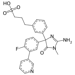 CN1C(=O)C(c2cccc(CCCS(=O)(=O)O)c2)(c2ccc(F)c(-c3cccnc3)c2)N=C1N